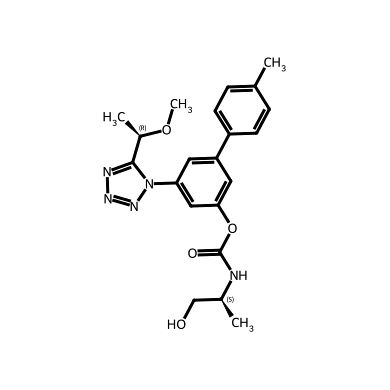 CO[C@H](C)c1nnnn1-c1cc(OC(=O)N[C@@H](C)CO)cc(-c2ccc(C)cc2)c1